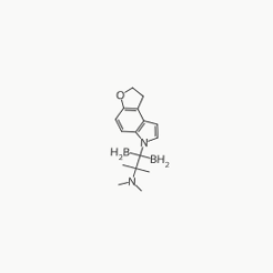 BC(B)(n1ccc2c3c(ccc21)OCC3)C(C)(C)N(C)C